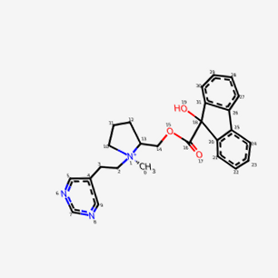 C[N@+]1(CCc2cncnc2)CCCC1COC(=O)C1(O)c2ccccc2-c2ccccc21